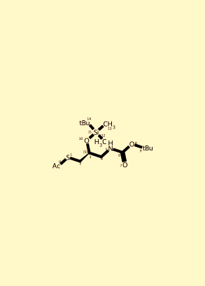 CC(=O)SC[C@H](CNC(=O)OC(C)(C)C)O[Si](C)(C)C(C)(C)C